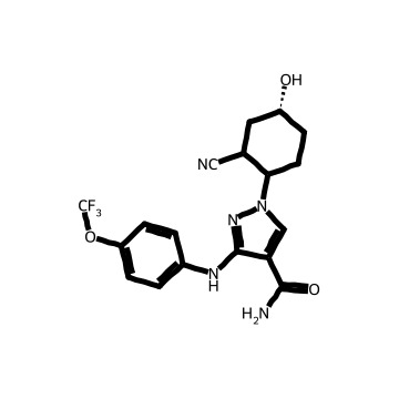 N#CC1C[C@H](O)CCC1n1cc(C(N)=O)c(Nc2ccc(OC(F)(F)F)cc2)n1